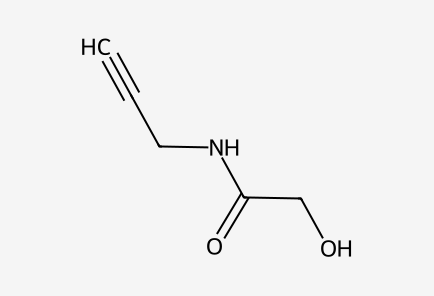 C#CCNC(=O)CO